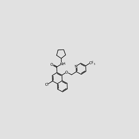 O=C(NC1CCCC1)c1cc(Cl)c2ccccc2c1OCc1ccc(C(F)(F)F)cn1